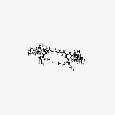 CC(C)C1CC(CCCCCCCC2CC(C(C)C)N(OC(C)(C)C)C(C(C)C)C2)CC(C(C)C)N1OC(C)(C)C